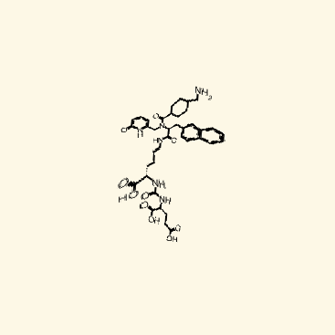 NCC1CCC(C(=O)N(Cc2cccc(=O)[nH]2)[C@@H](Cc2ccc3ccccc3c2)C(=O)NCCCC[C@H](NC(=O)N[C@@H](CCC(=O)O)C(=O)O)C(=O)O)CC1